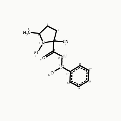 CCN1C(C)CCC1(C#N)C(=O)N[S+]([O-])c1ccccc1